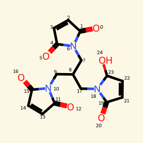 O=C1C=CC(=O)N1CC(CN1C(=O)C=CC1=O)CN1C(=O)C=CC1O